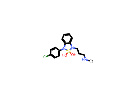 CCNCCCN1c2ccccc2N(c2ccc(Cl)cc2)S1(O)O